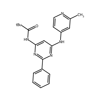 Cc1cc(Nc2cc(NC(=O)C(C)(C)C)nc(-c3ccccc3)n2)ccn1